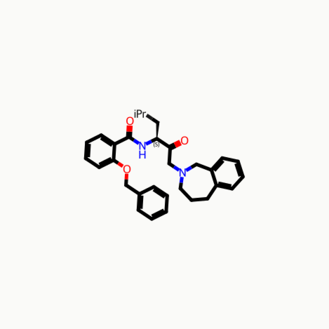 CC(C)C[C@H](NC(=O)c1ccccc1OCc1ccccc1)C(=O)CN1CCCc2ccccc2C1